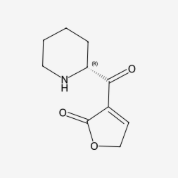 O=C1OCC=C1C(=O)[C@H]1CCCCN1